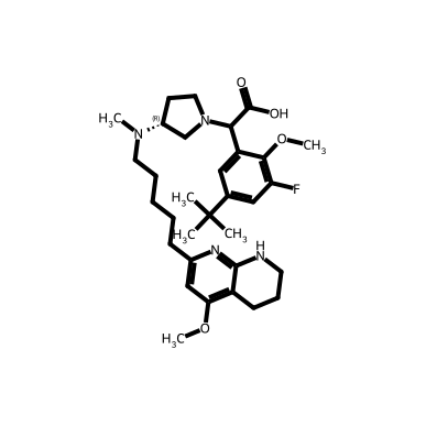 COc1cc(CCCCCN(C)[C@@H]2CCN(C(C(=O)O)c3cc(C(C)(C)C)cc(F)c3OC)C2)nc2c1CCCN2